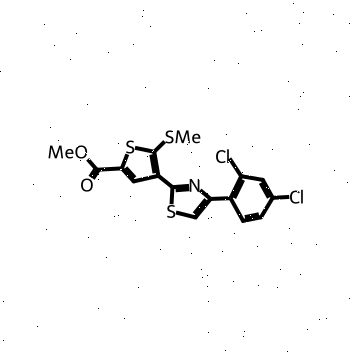 COC(=O)c1cc(-c2nc(-c3ccc(Cl)cc3Cl)cs2)c(SC)s1